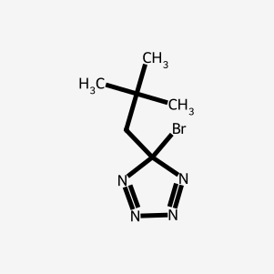 CC(C)(C)CC1(Br)N=NN=N1